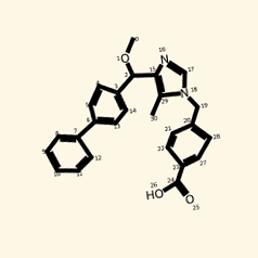 COC(c1ccc(-c2ccccc2)cc1)c1ncn(Cc2ccc(C(=O)O)cc2)c1C